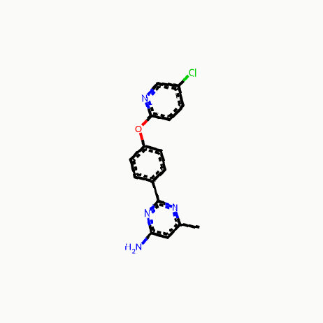 Cc1cc(N)nc(-c2ccc(Oc3ccc(Cl)cn3)cc2)n1